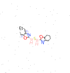 C/C=c1/oc(BSBc2nc3ccccc3o2)n/c1=C/CC